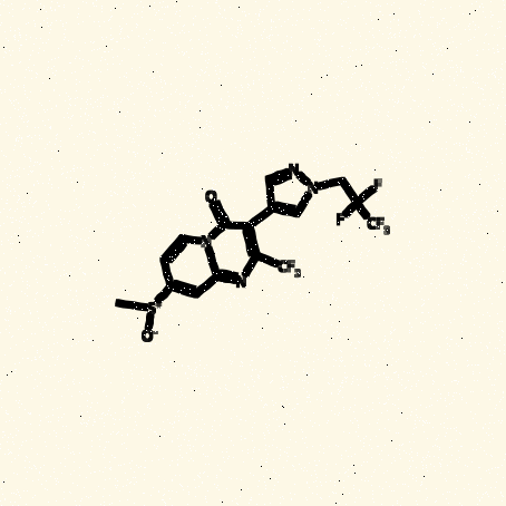 C[S+]([O-])c1ccn2c(=O)c(-c3cnn(CC(F)(F)C(F)(F)F)c3)c(C(F)(F)F)nc2c1